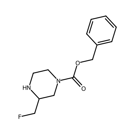 O=C(OCc1ccccc1)N1CCNC(CF)C1